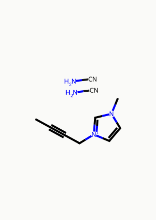 CC#CC[n+]1ccn(C)c1.N#CN.N#CN